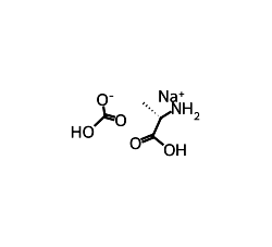 C[C@H](N)C(=O)O.O=C([O-])O.[Na+]